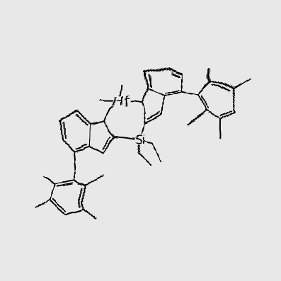 CC[Si]1(CC)C2=Cc3c(-c4c(C)c(C)cc(C)c4C)cccc3[CH]2[Hf]([CH3])([CH3])[CH]2C1=Cc1c(-c3c(C)c(C)cc(C)c3C)cccc12